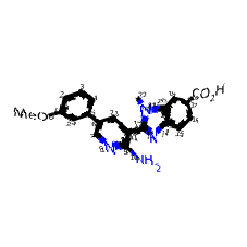 COc1cccc(-c2cnc(N)c(-c3nc4ccc(C(=O)O)cc4n3C)c2)c1